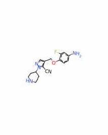 N#Cc1c(COc2ccc(N)cc2F)cnn1C1CCNCC1